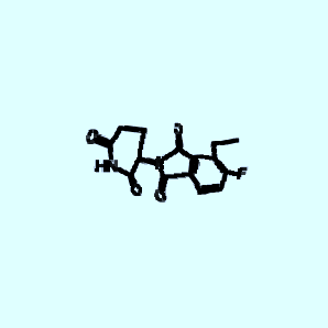 CCc1c(F)ccc2c1C(=O)N(C1CCC(=O)NC1=O)C2=O